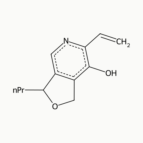 C=Cc1ncc2c(c1O)COC2CCC